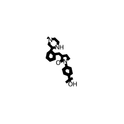 CN1CCNC(c2ccccc2CC2CCN(c3ccc(C(C)(C)O)cc3)C2=O)C1